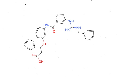 N=C(NCc1ccccc1)Nc1cccc(C(=O)Nc2cccc(OC(CC(=O)O)c3ccccc3)c2)c1